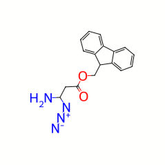 [N-]=[N+]=NC(N)CC(=O)OCC1c2ccccc2-c2ccccc21